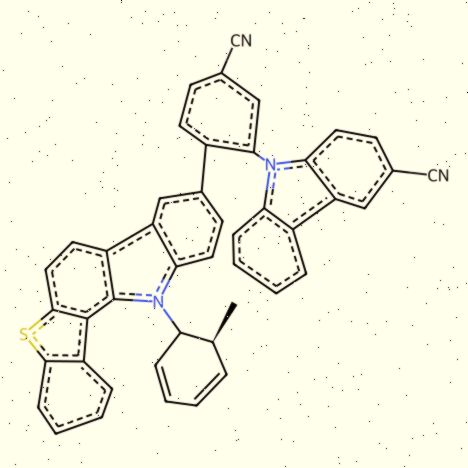 C[C@H]1C=CC=CC1n1c2ccc(-c3ccc(C#N)cc3-n3c4ccccc4c4cc(C#N)ccc43)cc2c2ccc3sc4ccccc4c3c21